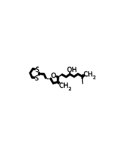 C=C(I)CC[C@H](O)CC[C@@H]1O[C@@H](CCC2SCCCS2)CC1=C